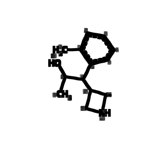 Cc1ccccc1C(C(C)O)C1CNC1